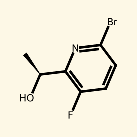 C[C@H](O)c1nc(Br)ccc1F